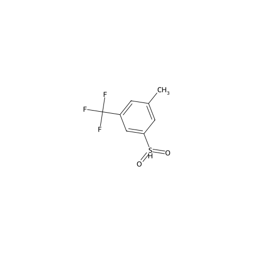 Cc1cc([SH](=O)=O)cc(C(F)(F)F)c1